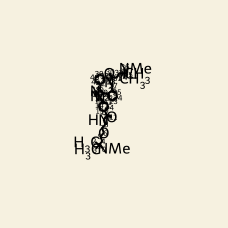 CNC(C)(C)CCOCCNC(=O)c1ccc(-n2nnc3c2-c2ccccc2CN(C(=O)CCC(C)(C)NC)c2ccccc2-3)cc1